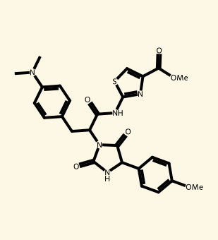 COC(=O)c1csc(NC(=O)C(Cc2ccc(N(C)C)cc2)N2C(=O)NC(c3ccc(OC)cc3)C2=O)n1